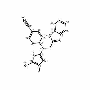 Cc1nc(N(Cc2cc3ccccc3s2)c2ccc(C#N)cc2)sc1Br